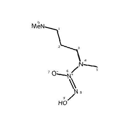 CNCCCN(C)[N+]([O-])=NO